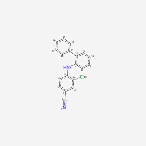 N#Cc1ccc(Nc2ccccc2-c2ccccc2)c(Cl)c1